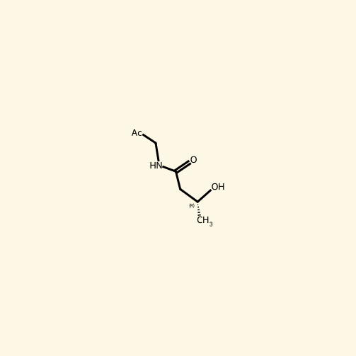 CC(=O)CNC(=O)C[C@@H](C)O